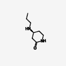 CCCN[C@H]1CCNC(=O)C1